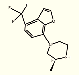 C[C@H]1CN(c2ccc(C(F)(F)F)c3ccoc23)CCN1